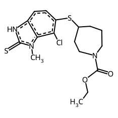 CCOC(=O)N1CCCC(Sc2ccc3[nH]c(=S)n(C)c3c2Cl)CC1